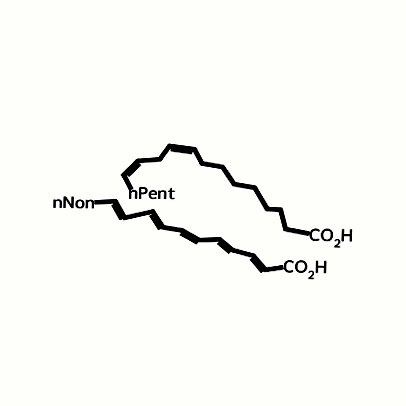 CCCCC/C=C\C/C=C\CCCCCCCC(=O)O.CCCCCCCCCC=CC=CC=CC=CC=CC(=O)O